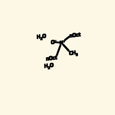 CCCCCCCC[N+](C)([O-])CCCCCCCC.O.O